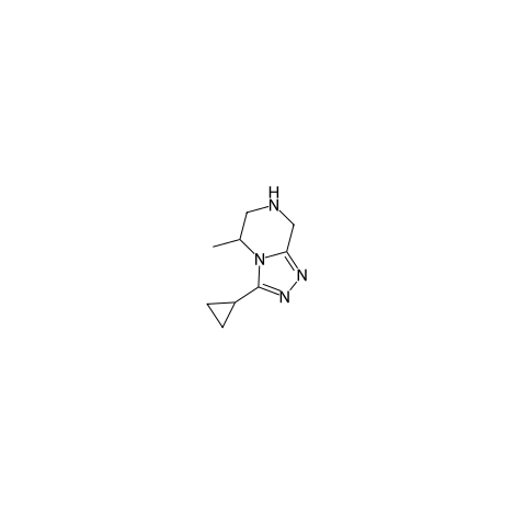 CC1CNCc2nnc(C3CC3)n21